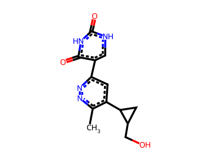 Cc1nnc(-c2c[nH]c(=O)[nH]c2=O)cc1C1CC1CO